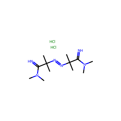 CN(C)C(=N)C(C)(C)N=NC(C)(C)C(=N)N(C)C.Cl.Cl